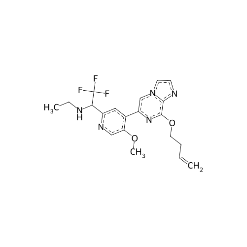 C=CCCOc1nc(-c2cc(C(NCC)C(F)(F)F)ncc2OC)cn2ccnc12